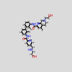 Cc1cc(C(=O)Nc2cccc(-c3cccc(NC(=O)c4ccc(CNCCO)cn4)c3C)c2C)nc2c1CCN(CCO)C2